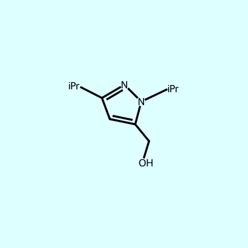 CC(C)c1cc(CO)n(C(C)C)n1